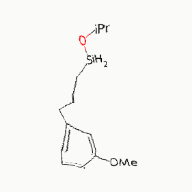 COc1[c]ccc(CCC[SiH2]OC(C)C)c1